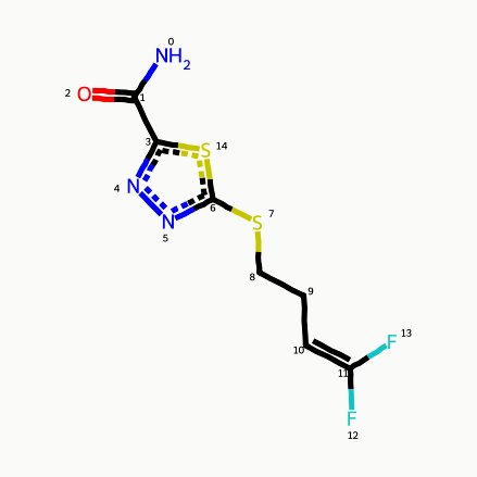 NC(=O)c1nnc(SCCC=C(F)F)s1